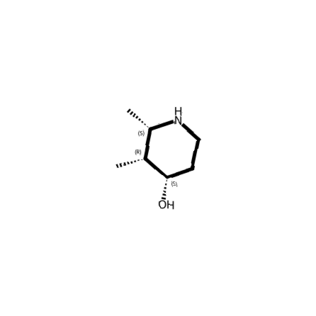 C[C@@H]1[C@H](C)NCC[C@@H]1O